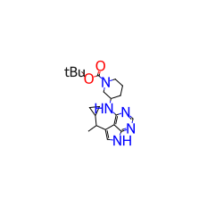 CC(c1c[nH]c2ncnc(NC3CCCN(C(=O)OC(C)(C)C)C3)c12)C1CC1